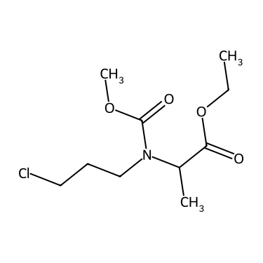 CCOC(=O)C(C)N(CCCCl)C(=O)OC